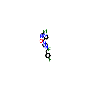 O=C(c1cccn2c(Cl)cnc12)N1CCN(C(F)Cc2ccc(F)cc2)CC1